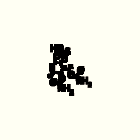 Cc1ncc(OS(=O)(O)=S)c(COC(N)=O)c1OC(N)=O